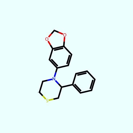 [CH]1CN(c2ccc3c(c2)OCO3)C(c2ccccc2)CS1